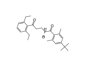 CCc1cccc(CC)c1C(=O)CC[PH](=O)C(=O)c1c(C)cc(C(C)(C)C)cc1C